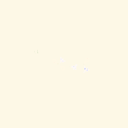 O=C(c1ccc(N(Cc2ccc(Cl)cc2)S(=O)(=O)c2ccccc2)cn1)N1CCCCC1